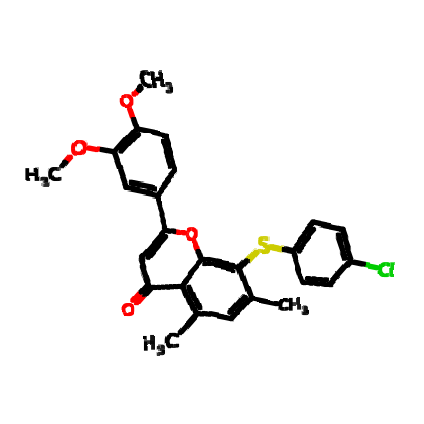 COc1ccc(-c2cc(=O)c3c(C)cc(C)c(Sc4ccc(Cl)cc4)c3o2)cc1OC